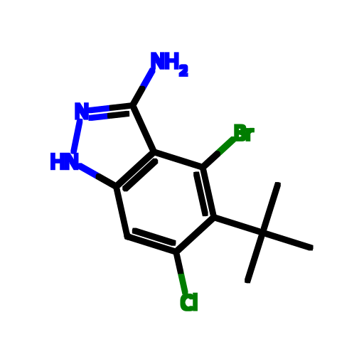 CC(C)(C)c1c(Cl)cc2[nH]nc(N)c2c1Br